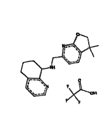 CC1(C)COc2nc(CNC3CCCc4cccnc43)ccc21.O=C(O)C(F)(F)F